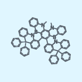 CN1c2ccccc2B2c3c(c4c5c(c31)N(C)c1ccccc1B5N1c3ccccc3C(c3ccccc3)(c3ccccc3)c3cccc-4c31)-c1cccc3c1N2c1ccccc1C3(c1ccccc1)c1ccccc1